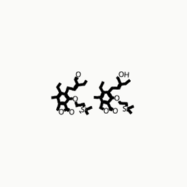 CCC(=CCc1c(CC)c(C)c2c(c1OCC[Si](C)(C)C)C(=O)OC2)CO.CCC(C=O)=CCc1c(CC)c(C)c2c(c1OCC[Si](C)(C)C)C(=O)OC2